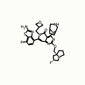 Nc1nc2c(-c3cc4nc(OC[C@@]56CCCN5C[C@H](F)C6)nc(N5C6CCC5CNC6)c4c(=O)n3CC3COC3)ccc(F)c2s1